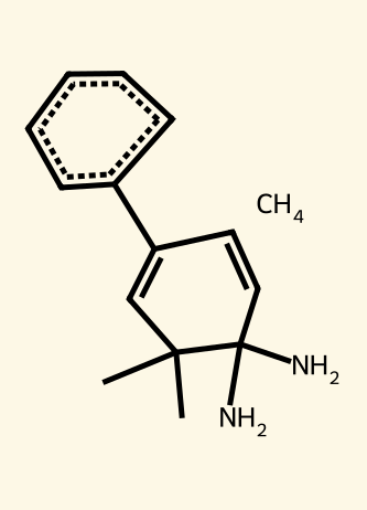 C.CC1(C)C=C(c2ccccc2)C=CC1(N)N